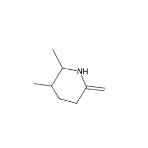 C=C1CCC(C)C(C)N1